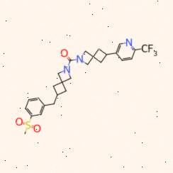 CS(=O)(=O)c1cccc(CC2CC3(C2)CN(C(=O)N2CC4(CC(c5ccc(C(F)(F)F)nc5)C4)C2)C3)c1